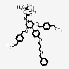 CCc1ccc(CO[C@H]2CN(OC(=O)OC(C)(C)C)C[C@@H](OCc3ccc(CC)cc3)[C@H]2c2ccc(OCCCOCc3ccccc3)cc2)cc1